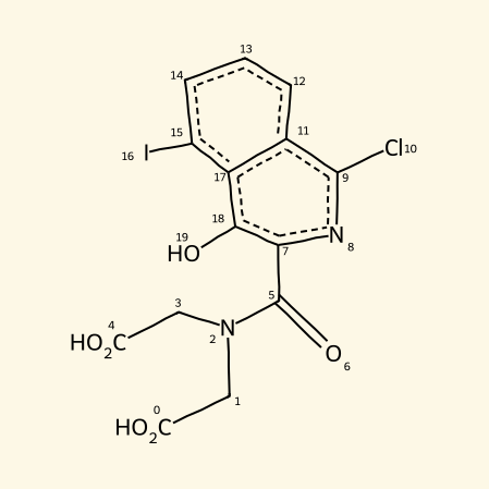 O=C(O)CN(CC(=O)O)C(=O)c1nc(Cl)c2cccc(I)c2c1O